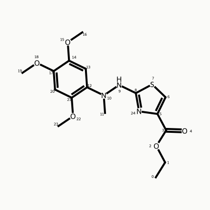 CCOC(=O)c1csc(NN(C)c2cc(OC)c(OC)cc2OC)n1